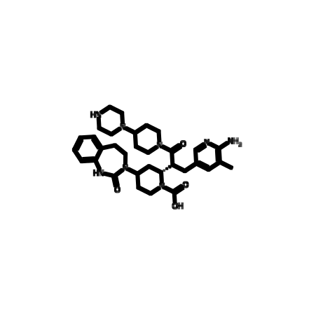 Cc1cc(CC(C(=O)N2CCC(N3CCNCC3)CC2)[C@H]2CC(N3CCc4ccccc4NC3=O)CCN2C(=O)O)cnc1N